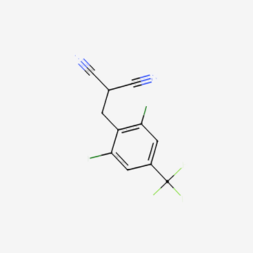 N#CC(C#N)Cc1c(Cl)cc(C(F)(F)F)cc1Cl